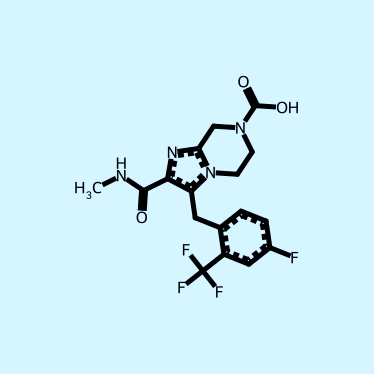 CNC(=O)c1nc2n(c1Cc1ccc(F)cc1C(F)(F)F)CCN(C(=O)O)C2